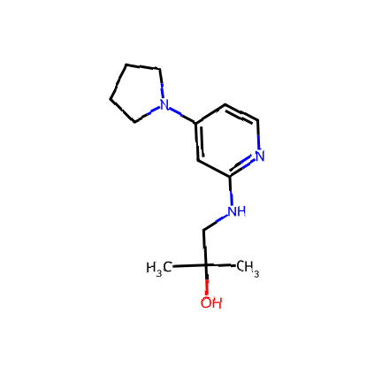 CC(C)(O)CNc1cc(N2CCCC2)ccn1